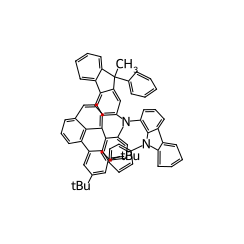 CC(C)(C)c1cc(-c2cccc3cccc(-c4ccccc4N(c4ccc5c(c4)C(C)(c4ccccc4)c4ccccc4-5)c4cccc5c6ccccc6n(-c6ccccc6)c45)c23)cc(C(C)(C)C)c1